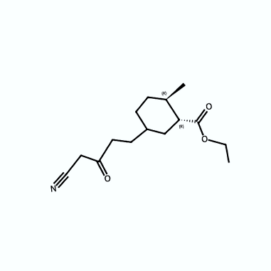 CCOC(=O)[C@@H]1CC(CCC(=O)CC#N)CC[C@H]1C